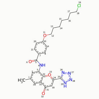 Cc1cc(NC(=O)c2ccc(OCCCCCCCCl)cc2)c2oc(-c3nnn[nH]3)cc(=O)c2c1